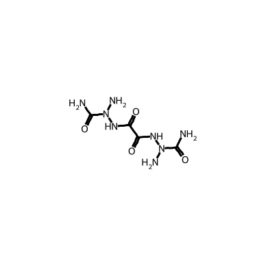 NC(=O)N(N)NC(=O)C(=O)NN(N)C(N)=O